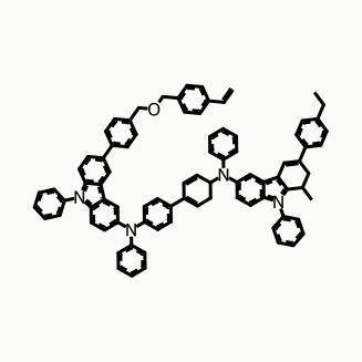 C=Cc1ccc(COCc2ccc(-c3ccc4c(c3)c3cc(N(c5ccccc5)c5ccc(C6=CCC(N(c7ccccc7)c7ccc8c(c7)c7c(n8-c8ccccc8)C(C)CC(c8ccc(CC)cc8)=C7)C=C6)cc5)ccc3n4-c3ccccc3)cc2)cc1